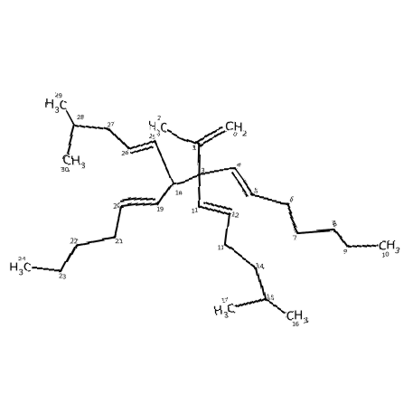 C=C(C)C(C=CCCCCC)(C=CCCC(C)C)[C](C=CCCCC)C=CCC(C)C